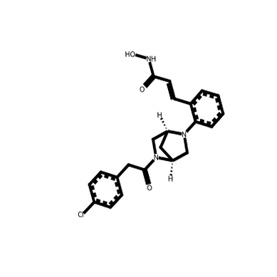 O=C(C=Cc1ccccc1N1C[C@@H]2C[C@H]1CN2C(=O)Cc1ccc(Cl)cc1)NO